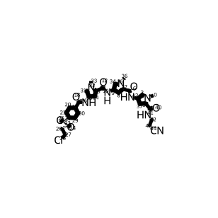 Cn1cc(NC(=O)c2cc(NC(=O)c3cc(NC(=O)c4ccc(S(=O)(=O)CCCl)cc4)cn3C)cn2C)cc1C(=O)NCCC#N